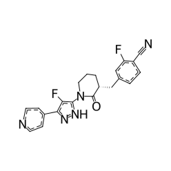 N#Cc1ccc(C[C@H]2CCCN(c3[nH]nc(-c4ccncc4)c3F)C2=O)cc1F